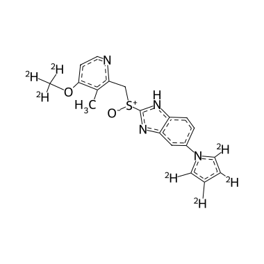 [2H]c1c([2H])c([2H])n(-c2ccc3[nH]c([S+]([O-])Cc4nccc(OC([2H])([2H])[2H])c4C)nc3c2)c1[2H]